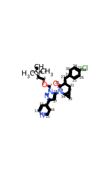 C[Si](C)(C)CCOCn1nc(-c2ccncc2)cc1N1C(=O)C(Cc2ccc(Cl)cc2)CC2CC21